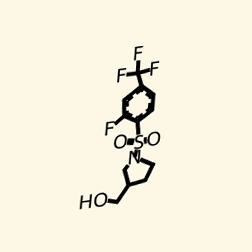 O=S(=O)(c1ccc(C(F)(F)F)cc1F)N1CCC(CO)C1